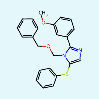 COc1cccc(-c2ncc(Sc3ccccc3)n2COCc2ccccc2)c1